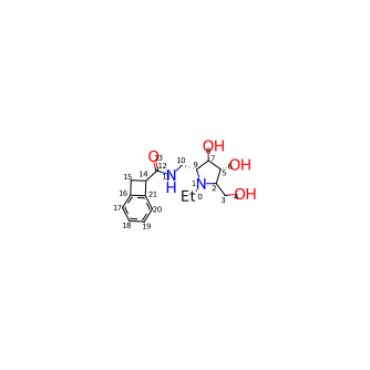 CCN1C(CO)[C@@H](O)C(O)[C@H]1CNC(=O)C1Cc2ccccc21